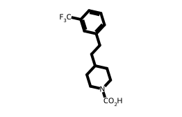 O=C(O)N1CCC(CCc2cccc(C(F)(F)F)c2)CC1